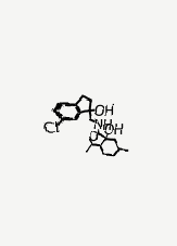 CC1CCC(C(C)C)C(O)(C(=O)NCC2(O)CCc3ccc(Cl)cc32)C1